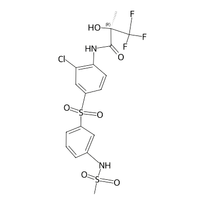 C[C@@](O)(C(=O)Nc1ccc(S(=O)(=O)c2cccc(NS(C)(=O)=O)c2)cc1Cl)C(F)(F)F